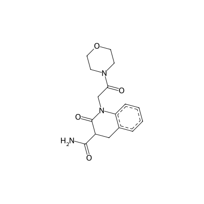 NC(=O)C1Cc2ccccc2N(CC(=O)N2CCOCC2)C1=O